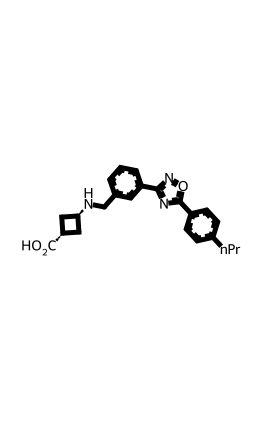 CCCc1ccc(-c2nc(-c3cccc(CN[C@H]4C[C@@H](C(=O)O)C4)c3)no2)cc1